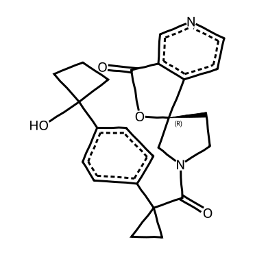 O=C1O[C@]2(CCN(C(=O)C3(c4ccc(C5(O)CCC5)cc4)CC3)C2)c2ccncc21